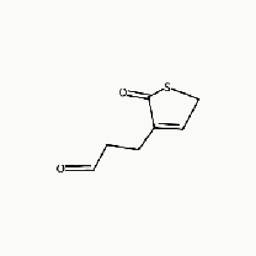 O=CCCC1=CCSC1=O